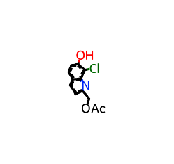 CC(=O)OCc1ccc2ccc(O)c(Cl)c2n1